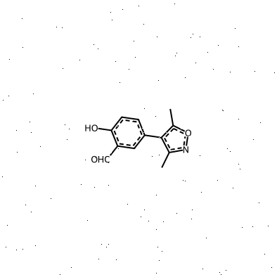 Cc1noc(C)c1-c1ccc(O)c(C=O)c1